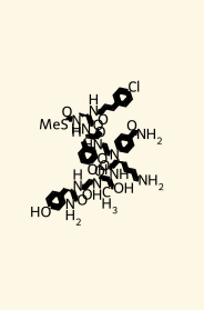 CSC(=O)NC[C@@H](NC(=O)CCc1ccc(Cl)cc1)C(=O)N[C@@H](Cc1ccc(O)cc1)C(=O)NCC(=O)N(c1ccc(C(N)=O)cc1)[C@@H](CCCCN)C(=O)NC(C(=O)NCC(=O)N[C@H](Cc1ccc(O)cc1)C(N)=O)C(C)O